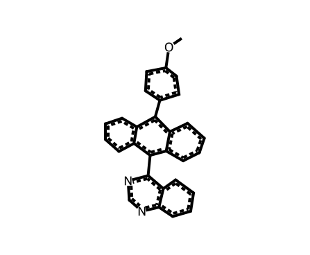 COc1ccc(-c2c3ccccc3c(-c3ncnc4ccccc34)c3ccccc23)cc1